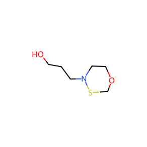 OCCCN1CCOCS1